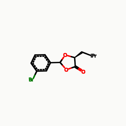 CC(C)C[C@@H]1OC(c2cccc(Br)c2)OC1=O